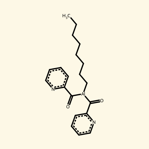 CCCCCCC[CH2][Al]([C](=O)c1ccccn1)[C](=O)c1ccccn1